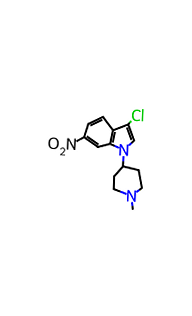 CN1CCC(n2cc(Cl)c3ccc([N+](=O)[O-])cc32)CC1